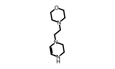 C1=CN(CCN2CCOCC2)CCN1